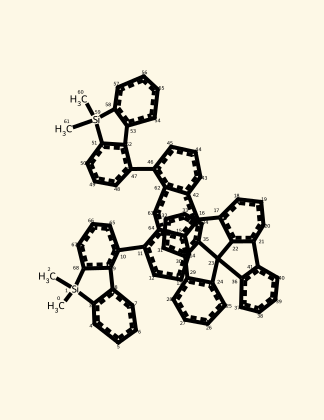 C[Si]1(C)c2ccccc2-c2c(-c3cccc4c(-c5cccc6c5C5(c7ccccc7-c7ccccc75)c5ccccc5-6)c5cccc(-c6cccc7c6-c6ccccc6[Si]7(C)C)c5cc34)cccc21